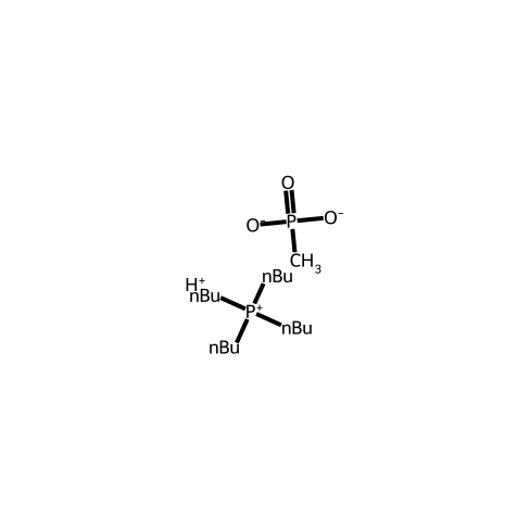 CCCC[P+](CCCC)(CCCC)CCCC.CP(=O)([O-])[O-].[H+]